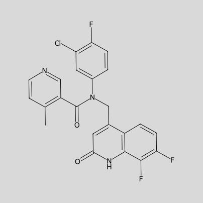 Cc1ccncc1C(=O)N(Cc1cc(=O)[nH]c2c(F)c(F)ccc12)c1ccc(F)c(Cl)c1